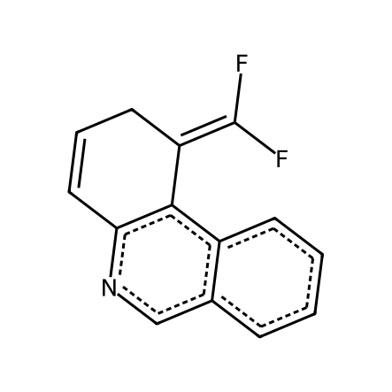 FC(F)=C1CC=Cc2ncc3ccccc3c21